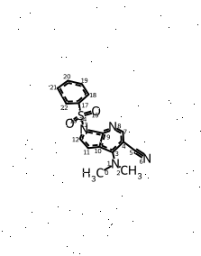 CN(C)c1c(C#N)cnc2c1ccn2S(=O)(=O)c1ccccc1